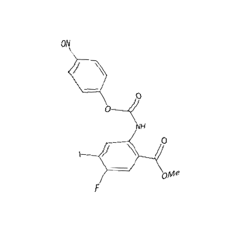 COC(=O)c1cc(F)c(I)cc1NC(=O)Oc1ccc(N=O)cc1